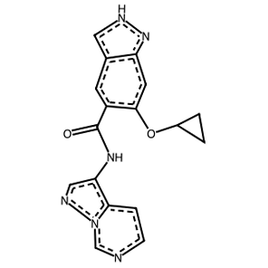 O=C(Nc1cnn2cnccc12)c1cc2c[nH]nc2cc1OC1CC1